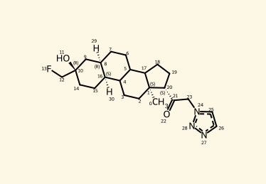 C[C@]12CCC3C(CC[C@@H]4C[C@@](O)(CF)CC[C@H]34)C1CC[C@@H]2C(=O)Cn1ccnn1